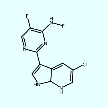 FNc1nc(C2=CNC3NC=C(Cl)C=C23)ncc1F